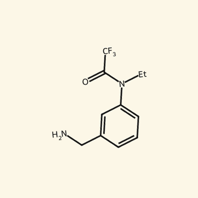 CCN(C(=O)C(F)(F)F)c1cccc(CN)c1